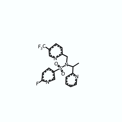 CC(c1ccccn1)N(Cc1ccc(C(F)(F)F)cn1)S(=O)(=O)c1ccc(F)nc1